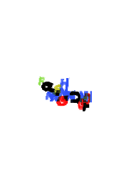 CC(C)S(=O)(=O)NC1CCN(C(=O)Nc2nnc(-c3ccc(F)cc3)s2)CC1